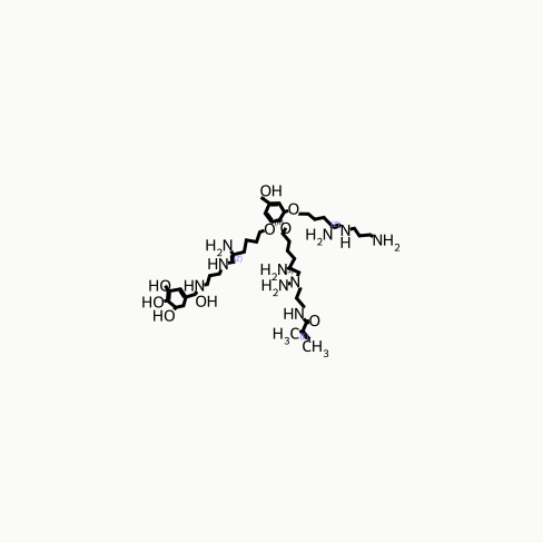 C/C=C(\C)C(=O)NCCCN(N)C[C@@H](N)CCCCO[C@H]1C(OCCCC/C(N)=C/NCCCNC(O)C2=CC(O)=C(O)C(O)C2)=CC(CO)=CC1OCCCC/C(N)=C/NCCCN